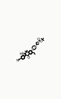 CCc1cc2c(cc1N1CCN(C3CN(C(=O)OC(C)(C)C)C3)CC1)C(C)(C)c1[nH]c3cc(C#N)ccc3c1C2=O